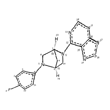 Fc1ccc(N2C[C@@H]3C[C@H]2CN3c2ncnc3nsnc23)cc1